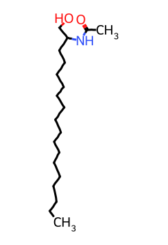 CCCCCCCCCCCCCCCCC(CO)NC(C)=O